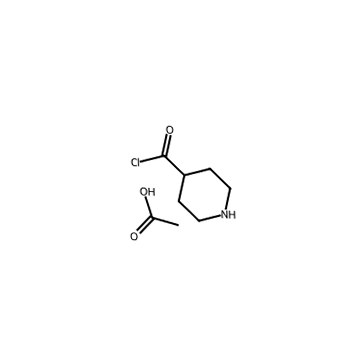 CC(=O)O.O=C(Cl)C1CCNCC1